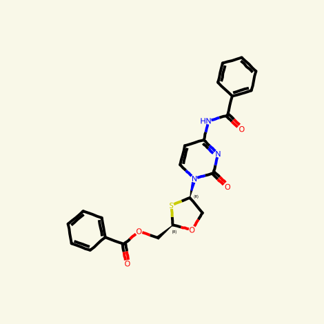 O=C(Nc1ccn([C@H]2CO[C@@H](COC(=O)c3ccccc3)S2)c(=O)n1)c1ccccc1